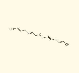 OC=CCC=CCOCC=CCC=CO